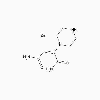 NC(=O)/C=C(\C(N)=O)N1CCNCC1.[Zn]